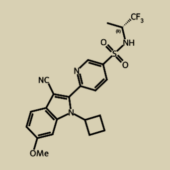 COc1ccc2c(C#N)c(-c3ccc(S(=O)(=O)N[C@H](C)C(F)(F)F)cn3)n(C3CCC3)c2c1